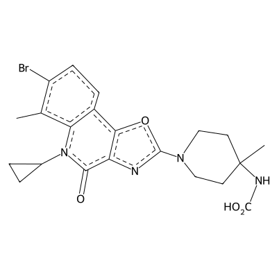 Cc1c(Br)ccc2c3oc(N4CCC(C)(NC(=O)O)CC4)nc3c(=O)n(C3CC3)c12